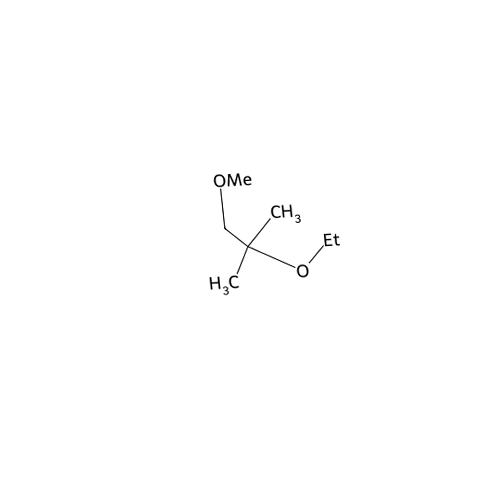 [CH2]COC(C)(C)COC